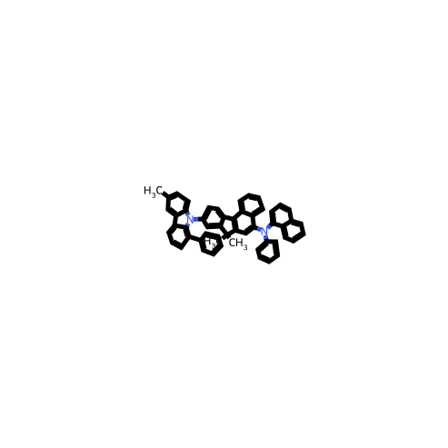 Cc1ccc2c(c1)c1cccc(-c3ccccc3)c1n2-c1ccc2c(c1)C(C)(C)c1cc(N(c3ccccc3)c3cccc4ccccc34)c3ccccc3c1-2